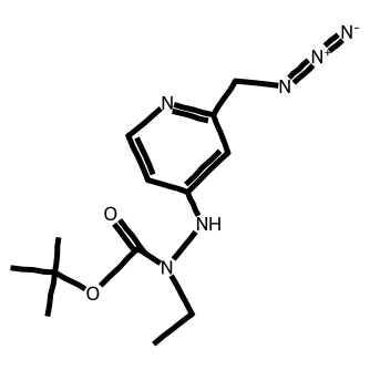 CCN(Nc1ccnc(CN=[N+]=[N-])c1)C(=O)OC(C)(C)C